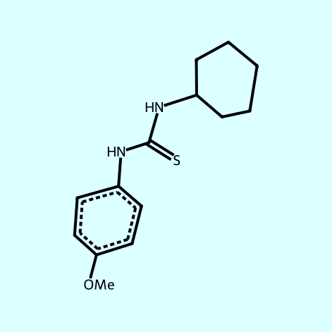 COc1ccc(NC(=S)NC2CCCCC2)cc1